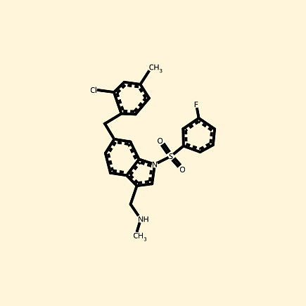 CNCc1cn(S(=O)(=O)c2cccc(F)c2)c2cc(Cc3ccc(C)cc3Cl)ccc12